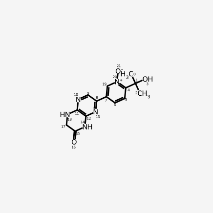 CC(C)(O)c1ccc(-c2cnc3c(n2)NC(=O)CN3)c[n+]1[O-]